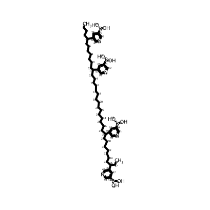 CCCCC(CCCCCCCC(CCCCCCCCCCCCCCCC(CCCCCCCC(CC)c1cncc(B(O)O)c1)c1cncc(B(O)O)c1)c1cncc(B(O)O)c1)c1cncc(B(O)O)c1